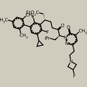 CCOC(=O)C[C@H](CCC(=O)[C@H](CC(C)C)n1nc(CCN2CC(F)C2)cc(C)c1=O)c1c(F)c(-c2c(C)cc(C)cc2C)cc(C2CC2)c1F